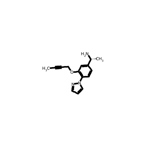 CC#CCOc1cc([C@@H](C)N)ccc1-n1cccn1